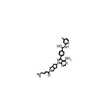 Cc1ccnc(NC(O)c2ccc(-c3nn(C4CC5CN(C(=O)/C=C/CN(C)C)CC5C4)c4ncnc(N)c34)cc2)c1